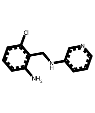 Nc1cccc(Cl)c1CNc1cccnc1